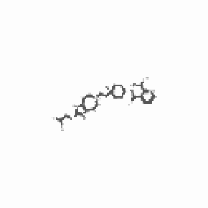 O=C(N[C@H]1CC[C@](F)(CCN2CCc3nc(OCC(F)F)sc3CC2)CC1)c1cccnc1C(F)F